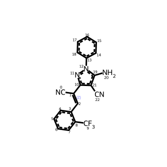 N#C/C(=C\c1ccccc1C(F)(F)F)c1nn(-c2ccccc2)c(N)c1C#N